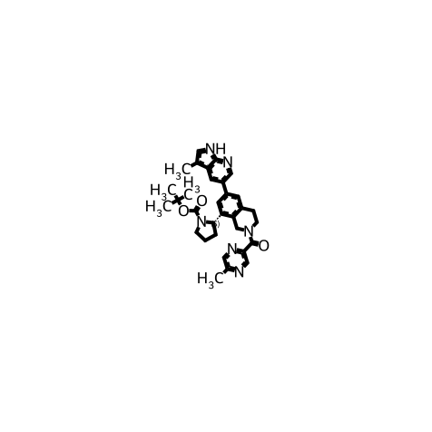 Cc1cnc(C(=O)N2CCc3cc(-c4cnc5[nH]cc(C)c5c4)cc([C@@H]4CCCN4C(=O)OC(C)(C)C)c3C2)cn1